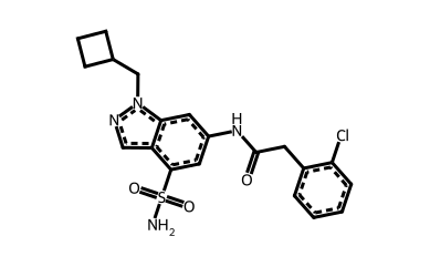 NS(=O)(=O)c1cc(NC(=O)Cc2ccccc2Cl)cc2c1cnn2CC1CCC1